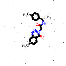 Cc1ccc([C@H](C)NC(=O)Cn2nnc3cc(C)ccc3c2=O)cc1